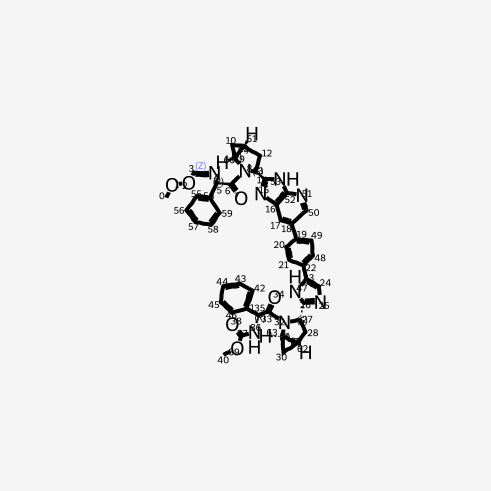 COO/C=N\[C@@H](C(=O)N1[C@@H]2C[C@@H]2C[C@H]1c1nc2cc(-c3ccc(-c4cnc([C@@H]5C[C@H]6C[C@H]6N5C(=O)[C@H](NC(=O)OC)c5ccccc5)[nH]4)cc3)cnc2[nH]1)c1ccccc1